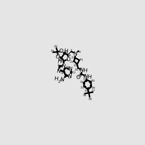 CN(C[C@H]1OC(n2cnc3c(N)ncnc32)[C@@H]2OC(C)(C)O[C@H]12)C1CC(CNC(=O)Nc2ccc(C(C)(C)C)cc2)C1